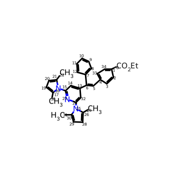 CCOC(=O)c1ccc(/C=C(\c2ccccc2)c2cc(-n3c(C)ccc3C)nc(-n3c(C)ccc3C)c2)cc1